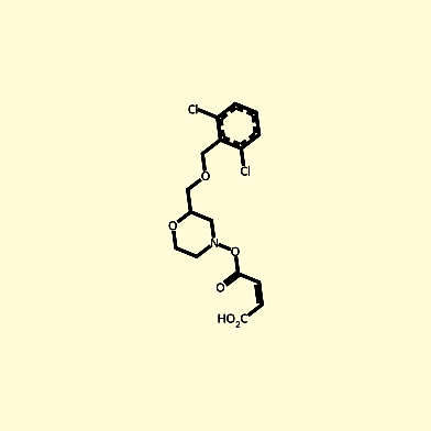 O=C(O)/C=C\C(=O)ON1CCOC(COCc2c(Cl)cccc2Cl)C1